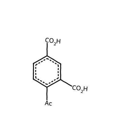 CC(=O)c1ccc(C(=O)O)cc1C(=O)O